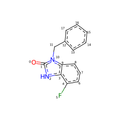 O=c1[nH]c2c(F)cccc2n1Cc1ccccc1